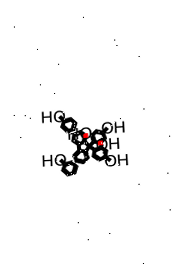 Oc1ccc(C2(c3ccc(O)cc3O)c3ccccc3-c3ccccc32)c(O)c1.Oc1ccccc1.Oc1ccccc1